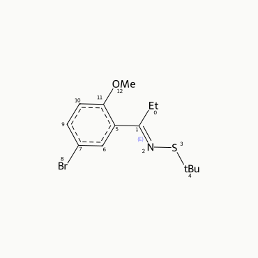 CC/C(=N\SC(C)(C)C)c1cc(Br)ccc1OC